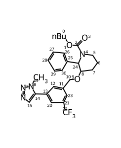 CCCCOC(=O)N1CCCC(OCc2cc(-c3cnnn3C)cc(C(F)(F)F)c2)C1c1ccccc1